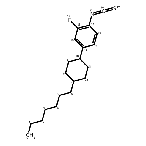 CCCCCCCC1CCC(c2ccc(N=C=S)c(F)c2)CC1